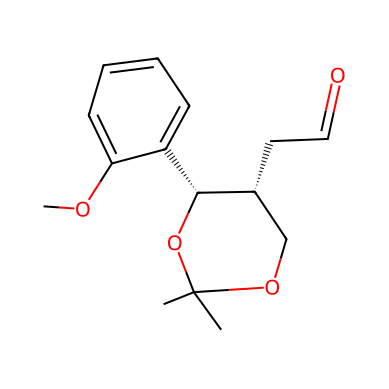 COc1ccccc1[C@H]1OC(C)(C)OC[C@H]1CC=O